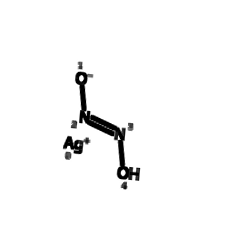 [Ag+].[O-]N=NO